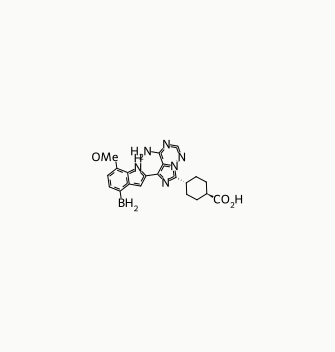 Bc1ccc(OC)c2[nH]c(-c3nc([C@H]4CC[C@H](C(=O)O)CC4)n4ncnc(N)c34)cc12